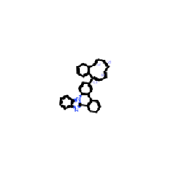 C1=CCC2/C=C/C=C\C=C\C=C(\C3=CC4C5=C(CCC=C5)c5nc6ccccc6n5C4C=C3)C2=C1